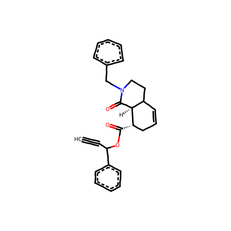 C#CC(OC(=O)[C@H]1CC=CC2CCN(Cc3ccccc3)C(=O)[C@@H]21)c1ccccc1